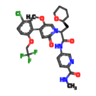 CNC(=O)c1ccc(NC(=O)C(C[C@@H]2CCCCO2)n2cc(OC)c(-c3cc(Cl)ccc3OCC(F)(F)F)cc2=O)cn1